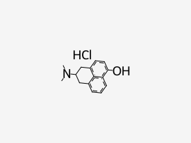 CN(C)C1Cc2cccc3c(O)ccc(c23)C1.Cl